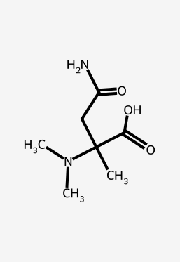 CN(C)C(C)(CC(N)=O)C(=O)O